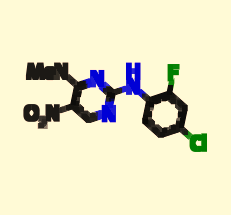 CNc1nc(Nc2ccc(Cl)cc2F)ncc1[N+](=O)[O-]